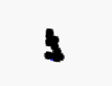 c1ccc(-c2cc(-c3cccc(-c4ccc(-c5c6ccccc6c(-c6ccc7ccccc7c6)c6ccccc56)cc4)c3)c3c(ccc4ccccc43)n2)cc1